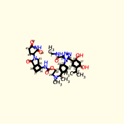 CCNC(=O)c1nnc(-c2cc(C(C)C)c(O)cc2O)n1-c1ccc(C(C)N(C)CCOC(=O)Nc2cccc3c2CN(C2CCC(=O)NC2=O)C3=O)cc1